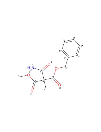 COC(=O)C(C)(C(N)=O)C(=O)OCc1ccccc1